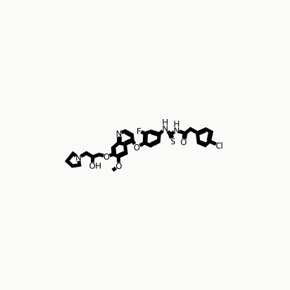 COc1cc2c(Oc3ccc(NC(=S)NC(=O)Cc4ccc(Cl)cc4)cc3F)ccnc2cc1OCC(O)CN1CCCC1